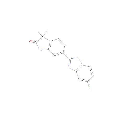 CC1(C)C(=O)Nc2cc(-c3nc4cc(Cl)ccc4[nH]3)ccc21